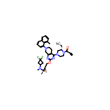 C#CC(=O)N1CCN(c2nc(OCC3S[C@]3(C)N(C)C3CC(F)(F)C3)nc3c2CCN(c2cccc4cccc(C)c24)C3)C[C@@H]1CC#N